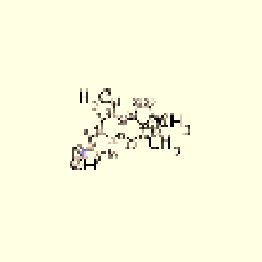 C=CC1CC2=C/C(=N/O)CCC2C2CCC3(CC)C(C)CCC3C12